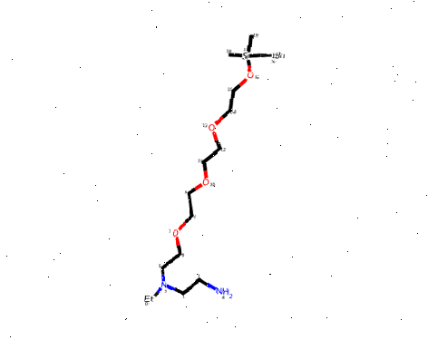 CCN(CCN)CCOCCOCCOCCO[Si](C)(C)C(C)(C)C